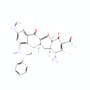 CNc1cc2ncoc2c2c1[C@H](CSc1ccccc1)[C@H]1C[C@H]3[C@H](NC)C(O)=C(C(N)=O)C(=O)[C@@]3(O)C(O)=C1C2=O